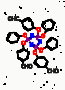 O=Cc1ccc(OP2(Oc3ccccc3)=NP(Oc3ccccc3)(Oc3ccc(C=O)cc3)=NP(Oc3ccccc3)(Oc3ccc(C=O)cc3)=N2)cc1